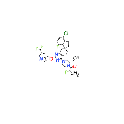 C=C(F)C(=O)N1CCN(c2nc(OCC34CCN3C[C@@H](C(F)F)C4)nc3c2CC[C@@]2(CCc4c(Cl)cccc42)[C@H]3F)C[C@@H]1CC#N